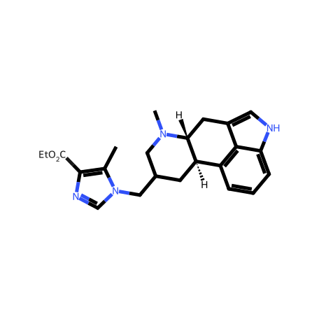 CCOC(=O)c1ncn(CC2C[C@@H]3c4cccc5[nH]cc(c45)C[C@H]3N(C)C2)c1C